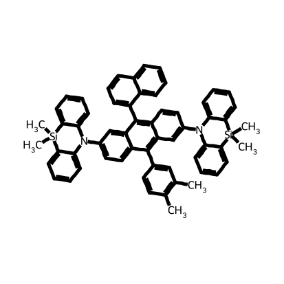 Cc1ccc(-c2c3cc(N4c5ccccc5[Si](C)(C)c5ccccc54)ccc3c(-c3cccc4ccccc34)c3cc(N4c5ccccc5[Si](C)(C)c5ccccc54)ccc23)cc1C